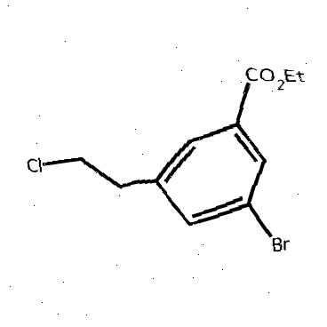 CCOC(=O)c1cc(Br)cc(CCCl)c1